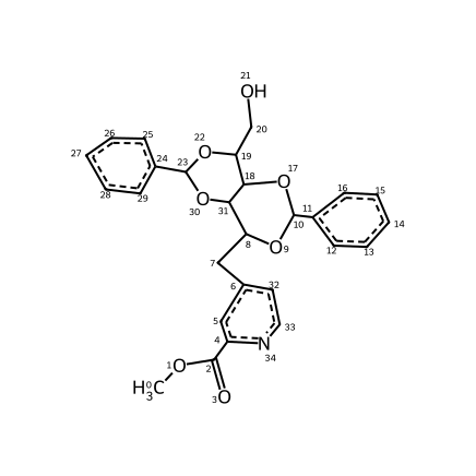 COC(=O)c1cc(CC2OC(c3ccccc3)OC3C(CO)OC(c4ccccc4)OC23)ccn1